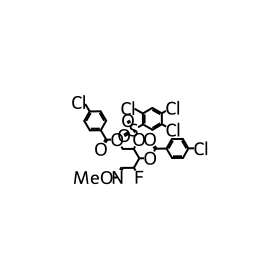 CON=CC(F)C(OC(=O)c1ccc(Cl)cc1)C(COC(=O)c1ccc(Cl)cc1)OS(=O)(=O)c1cc(Cl)c(Cl)cc1Cl